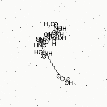 CC(=O)CNC(=O)[C@H](CO)NC(=O)[C@H](CO)NC(=O)CNC(=O)[C@H](CO)NC(=O)[C@H](CO)NC(=O)CC[C@H](NC(=O)CCCCCCCCCCCOc1ccc(C(=O)O)cc1)C(=O)O